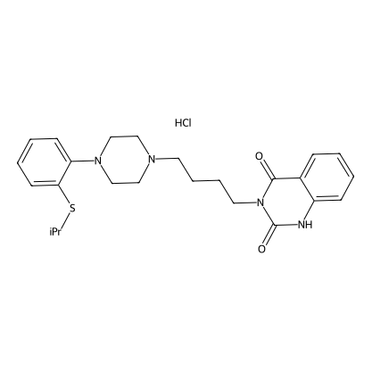 CC(C)Sc1ccccc1N1CCN(CCCCn2c(=O)[nH]c3ccccc3c2=O)CC1.Cl